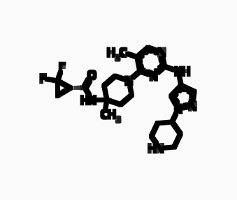 Cc1cnc(Nc2cnn(C3CCNCC3)c2)nc1N1CCC(C)(NC(=O)[C@@H]2CC2(F)F)CC1